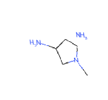 CN1CCC(N)C1.N